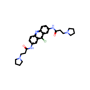 O=C(CCN1CCCC1)Nc1ccc2nc3ccc(NC(=O)CCN4CCCC4)cc3c(Cl)c2c1